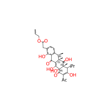 C=CCOC(=O)Cc1ccc2c(c1O)C(=O)C1=C(O)[C@@]3(O)C(=O)C(C(C)=O)=C(O)C(C(C)C)[C@@]3(C)[C@H](O)[C@@]1(C)[C@@H]2C